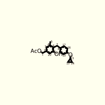 CC(=O)OCc1cc(C)c(Cc2ccc(OC3CC3)cc2)c(O)c1